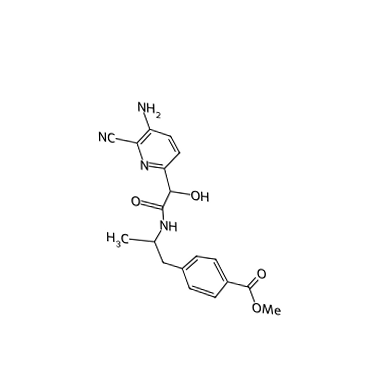 COC(=O)c1ccc(CC(C)NC(=O)C(O)c2ccc(N)c(C#N)n2)cc1